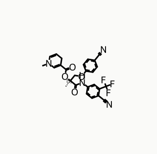 CN1C=CCC(C(=O)O[C@@](C)(COc2ccc(C#N)cc2)C(=O)Nc2ccc(C#N)c(C(F)(F)F)c2)=C1